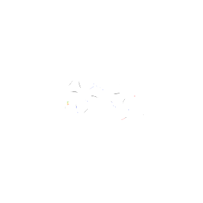 CC1=NC=CN(c2cnn([C@H](C)c3cnc(N4C[C@H]5C[C@H]5C4=O)c(O)c3)c2)C1c1c(C(F)F)ccc(Cl)c1F